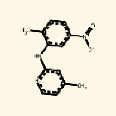 Cc1ccnc(Nc2cc([N+](=O)[O-])ccc2C)c1